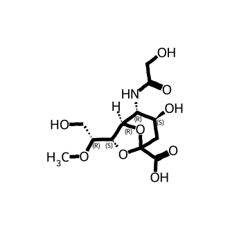 CO[C@H](CO)[C@H]1OC2(C(=O)O)C[C@H](O)[C@@H](NC(=O)CO)[C@H]1O2